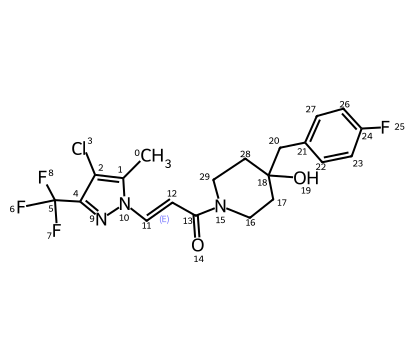 Cc1c(Cl)c(C(F)(F)F)nn1/C=C/C(=O)N1CCC(O)(Cc2ccc(F)cc2)CC1